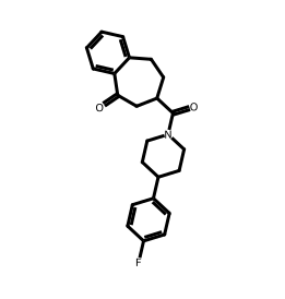 O=C1CC(C(=O)N2CCC(c3ccc(F)cc3)CC2)CCc2ccccc21